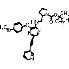 COc1ccc(Oc2nc(C#Cc3cccnc3)cnc2NCC2CCCN2C(=O)OC(C)(C)C)cc1